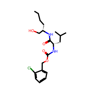 CCCC[C@@H](CO)NC(=O)[C@H](CC(C)C)NC(=O)OCc1ccccc1Cl